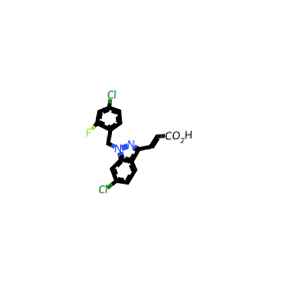 O=C(O)/C=C/c1nn(Cc2ccc(Cl)cc2F)c2cc(Cl)ccc12